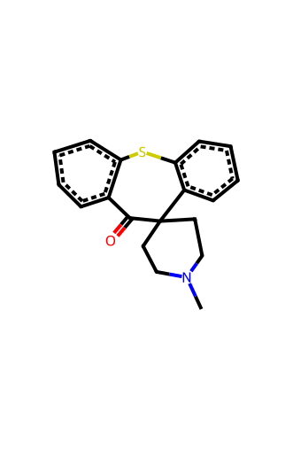 CN1CCC2(CC1)C(=O)c1ccccc1Sc1ccccc12